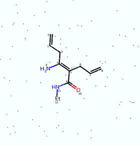 C=CC/C(N)=C(\CC=C)C(=O)NCC